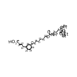 CCO[Si](CCCNC(=O)OCCCCCCOc1cccc(CC=CC(=O)O)c1)(OCC)OCC